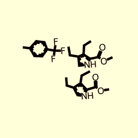 CCc1c[nH]c(C(=O)OC)c1CC.CCc1c[nH]c(C(=O)OC)c1CC.Cc1ccc(C(F)(F)F)cc1